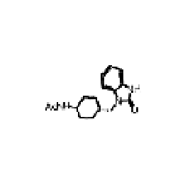 CC(=O)N[C@H]1CC[C@H](Cn2c(=O)[nH]c3ccccc32)CC1